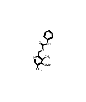 COc1c(C)cnc(COC(=O)Nc2ccccc2)c1C